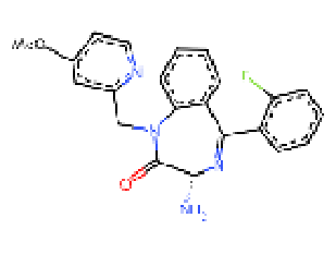 COc1ccnc(CN2C(=O)[C@@H](N)N=C(c3ccccc3F)c3ccccc32)c1